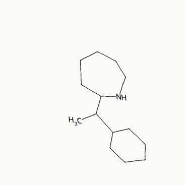 CC(C1CCCCC1)C1CCCCCN1